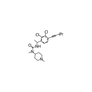 CC(C)C#Cc1ccc(C(C)NC(=O)N(C)C2CCN(C)CC2)c(Cl)c1Cl